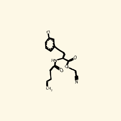 C=CCCC(=O)NC(Cc1cccc(Cl)c1)C(=O)OCC#N